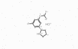 Cl.Fc1cc(OC(F)F)cc([C@H]2CCCN2)c1